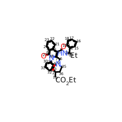 CCOC(=O)CC1CCN(Cc2c(C(=O)NC(CC)c3ccccc3)c3ccccc3c(=O)n2-c2ccccc2)CC1